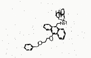 CC(CO)(CO)NCc1c2ccccc2c(OCCOCc2ccccc2)c2ccccc12